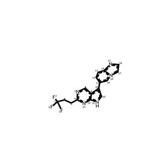 FC(F)(F)CCc1ncc2c(-c3ccc4nccn4c3)c[nH]c2n1